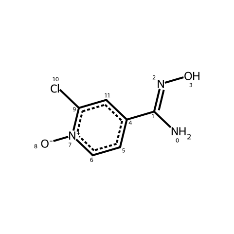 NC(=NO)c1cc[n+]([O-])c(Cl)c1